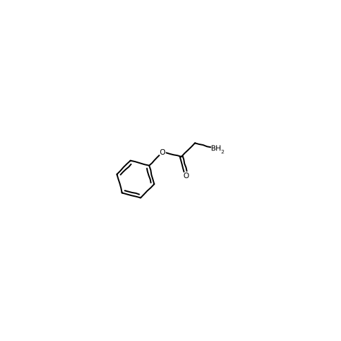 BCC(=O)Oc1ccccc1